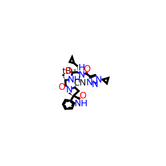 CC(C)(C)C[C@H](NC(=O)[C@H](CC1CC1)NC(=O)c1cn(C2CC2)nn1)C(=O)N1C[C@]2(C[C@H]1C#N)C(=O)Nc1ccccc12